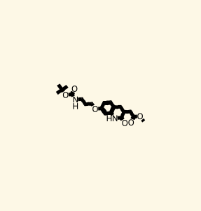 COC(=O)CC1Cc2ccc(OCCCNC(=O)OC(C)(C)C)cc2NC1=O